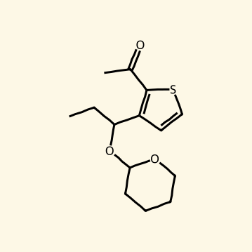 CCC(OC1CCCCO1)c1ccsc1C(C)=O